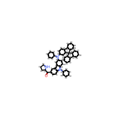 O=C(c1ccc2c(c1)c1cc(N(c3ccccc3)c3ccc4c(c3)C3(c5ccccc5-c5ccccc53)c3ccccc3-4)ccc1n2-c1ccccc1)C1CCCN1